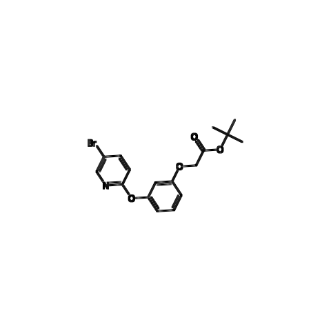 CC(C)(C)OC(=O)COc1cccc(Oc2ccc(Br)cn2)c1